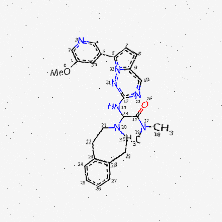 COc1cncc(-c2ccc3cnc(NC(C(=O)N(C)C)N4CCc5ccccc5CC4)nn23)c1